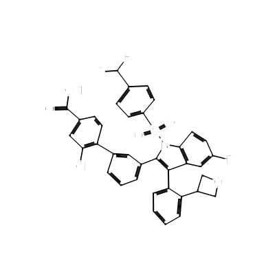 O=C(O)c1ccc(-c2cccc(-c3c(-c4ccccc4C4COC4)c4cc(F)ccc4n3S(=O)(=O)c3ccc(C(F)F)cc3)c2)c(Cl)c1